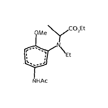 CCOC(=O)C(C)N(CC)c1cc(NC(C)=O)[c]cc1OC